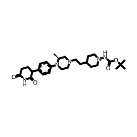 C[C@H]1CN(CCC2CCN(NC(=O)OC(C)(C)C)CC2)CCN1c1ccc(C2CCC(=O)NC2=O)cc1